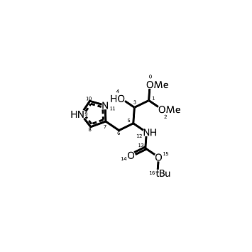 COC(OC)C(O)C(Cc1c[nH]cn1)NC(=O)OC(C)(C)C